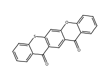 O=c1c2ccccc2oc2cc3sc4ccccc4c(=O)c3cc12